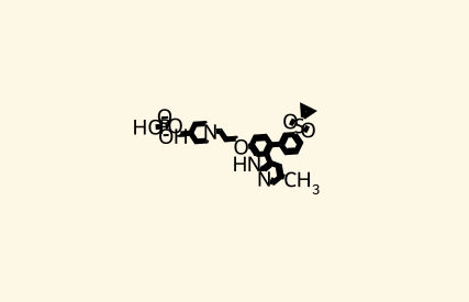 Cc1cnc2[nH]c3c(OCCCN4CCC(COP(=O)(O)O)CC4)ccc(-c4cccc(S(=O)(=O)C5CC5)c4)c3c2c1